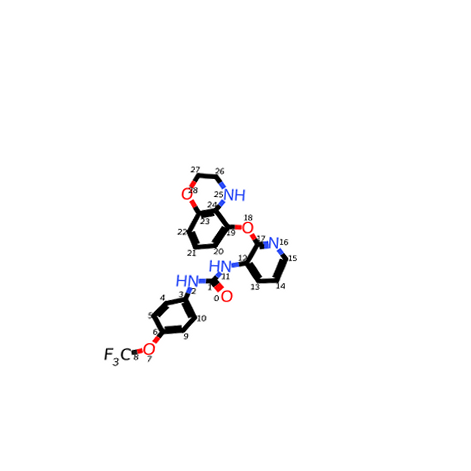 O=C(Nc1ccc(OC(F)(F)F)cc1)Nc1cccnc1Oc1cccc2c1NCCO2